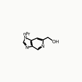 CCCn1cnc2cnc(CO)cc21